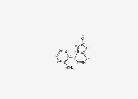 Cc1ccccc1C1C=NCc2sc(Cl)cc21